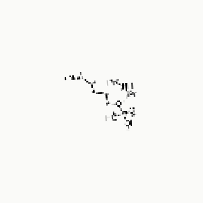 CC(C)NC(C)C.CCCCCCCCCCCCCOP(=O)(O)O